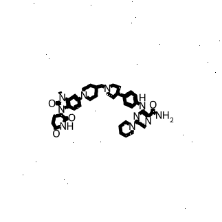 Cn1c(=O)n(C2CCC(=O)NC2=O)c2ccc(N3CCC(CN4CCC(c5ccc(Nc6nc(N7CCCCC7)cnc6C(N)=O)cc5)CC4)CC3)cc21